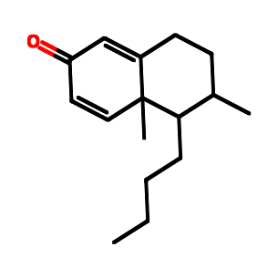 CCCCC1C(C)CCC2=CC(=O)C=CC21C